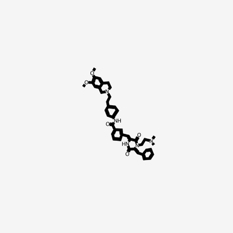 COc1cc2c(cc1OC)CN(CCc1ccc(NC(=O)c3cccc(C=c4[nH]c(=O)c(=Cc5ccccc5)n(CCN(C)C)c4=O)c3)cc1)CC2